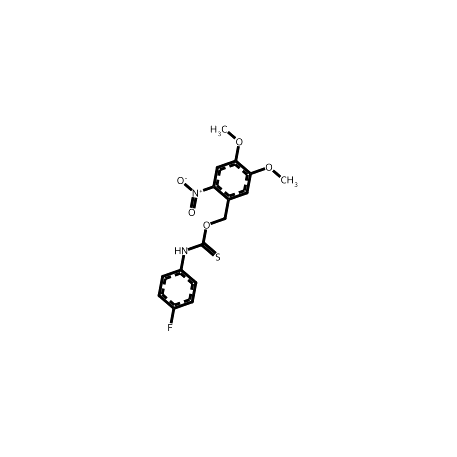 COc1cc(COC(=S)Nc2ccc(F)cc2)c([N+](=O)[O-])cc1OC